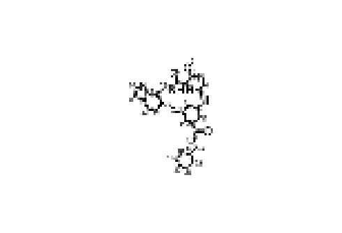 COc1ncc(Nc2cc(F)cc(C(=O)OCc3ccccc3)c2)nc1C(=O)NCc1cccc2ccnn12